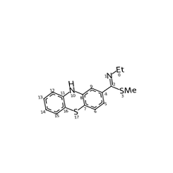 CCN=C(SC)c1ccc2c(c1)Nc1ccccc1S2